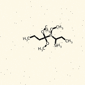 CCCC(OC)(OC)N(OC)C([SiH3])CC